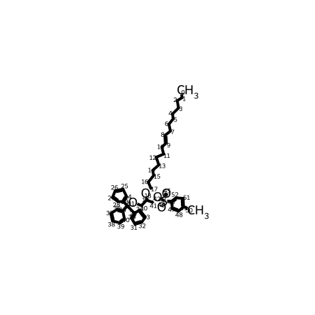 CCCCCCCCC=CCCCCCCCCOC(COC(c1ccccc1)(c1ccccc1)c1ccccc1)COS(=O)(=O)c1ccc(C)cc1